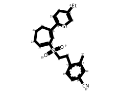 CCC1=CSC(C2=CC(S(=O)(=O)CCc3ccc(C#N)cc3C)=CCCC2)=CC1